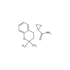 CC1(C)C[C@@H](C2(C(N)=O)CC2)c2ccccc2O1